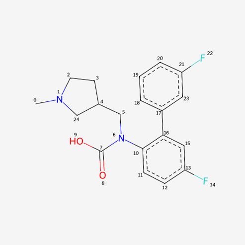 CN1CCC(CN(C(=O)O)c2ccc(F)cc2-c2cccc(F)c2)C1